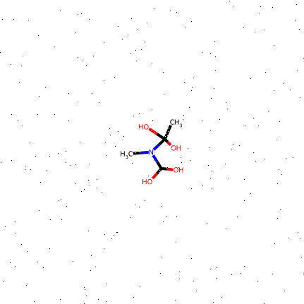 CN(C(O)O)C(C)(O)O